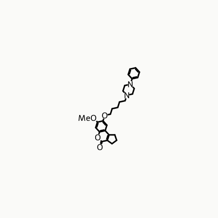 COc1cc2oc(=O)c3c(c2cc1OCCCCCN1CCN(c2ccccc2)CC1)CCC3